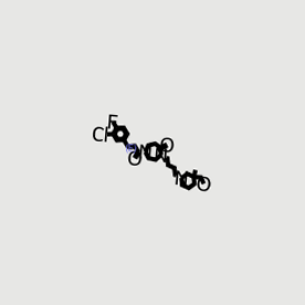 COCC1(C)CCCN(CCCCN2CCN(C(=O)/C=C/c3ccc(F)c(Cl)c3)CCC2=O)C1